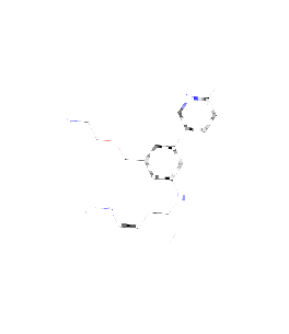 CC[C@H](C/C=C\NC)Nc1cc(COCCN)cc(-c2ccc(C)nc2)c1